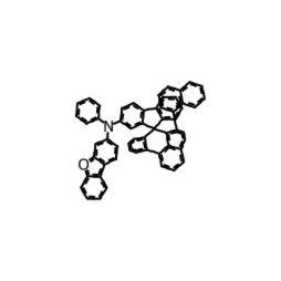 c1ccc(N(c2ccc3c(c2)C2(c4ccccc4-3)c3ccccc3-c3cccc4ccc(-c5cccc6ccccc56)c2c34)c2ccc3c(c2)oc2ccccc23)cc1